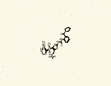 CS(=O)(=O)NCc1nc(NC(=O)Nc2ccccc2C(=O)C2CCCC2)sc1S(=O)(=O)c1nnn[nH]1